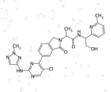 Cc1cccc(C(CO)NC(=O)C(C)N2Cc3ccc(-c4nc(Nc5cnn(C)n5)ncc4Cl)cc3C2=O)n1